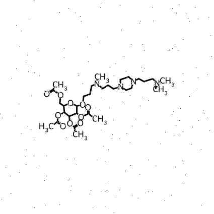 CC(=O)OCC1OC(OCCCN(C)CCCN2CCN(CCCN(C)C)CC2)C(OC(C)=O)C(OC(C)=O)C1OC(C)=O